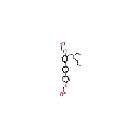 CCCCC(CC)Cc1cc(-c2ccc(-c3ccc(OCC4CO4)cc3)cc2)ccc1OCC1CO1